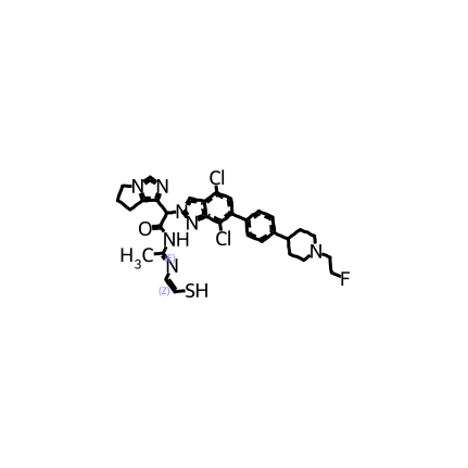 C/C(=N\C=C/S)NC(=O)C(c1ncn2c1CCC2)n1cc2c(Cl)cc(-c3ccc(C4CCN(CCF)CC4)cc3)c(Cl)c2n1